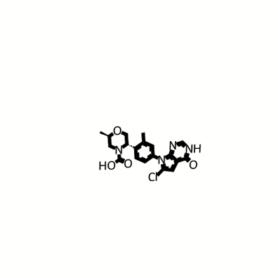 Cc1cc(-n2c(Cl)cc3c(=O)[nH]cnc32)ccc1[C@H]1CO[C@H](C)CN1C(=O)O